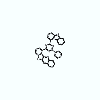 c1ccc(-c2nc(-c3cccc4sc5ccccc5c34)nc(-c3cccc4oc5cc6ccccc6nc5c34)n2)cc1